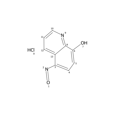 Cl.O=Nc1ccc(O)c2ncccc12